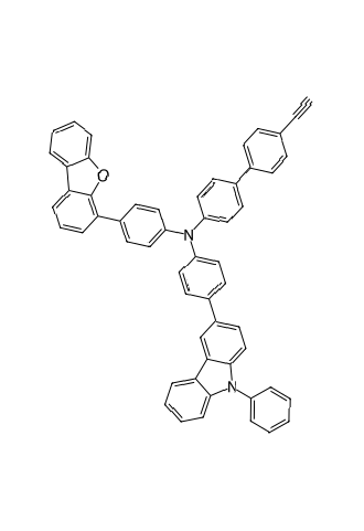 C#Cc1ccc(-c2ccc(N(c3ccc(-c4ccc5c(c4)c4ccccc4n5-c4ccccc4)cc3)c3ccc(-c4cccc5c4oc4ccccc45)cc3)cc2)cc1